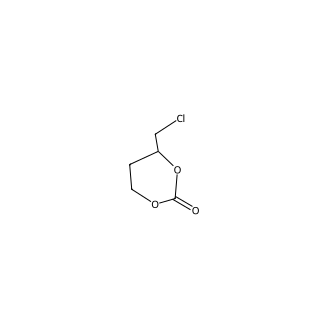 O=C1OCCC(CCl)O1